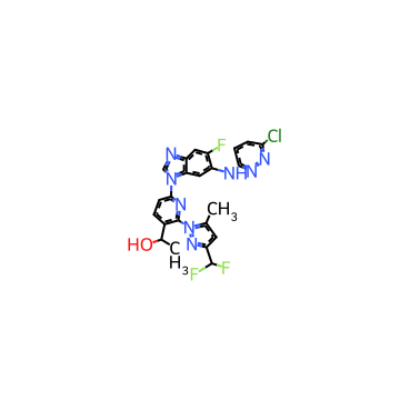 Cc1cc(C(F)F)nn1-c1nc(-n2cnc3cc(F)c(Nc4ccc(Cl)nn4)cc32)ccc1C(C)O